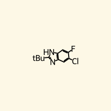 CC(C)(C)c1nc2cc(Cl)c(F)cc2[nH]1